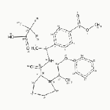 COC(=O)c1ccc(C(C)NC(=O)[C@H]2CCCCN2C(C)COc2ccccc2)cc1.O=C(O)C(F)(F)F